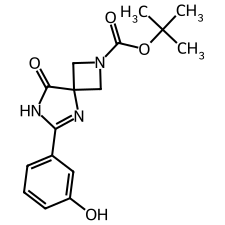 CC(C)(C)OC(=O)N1CC2(C1)N=C(c1cccc(O)c1)NC2=O